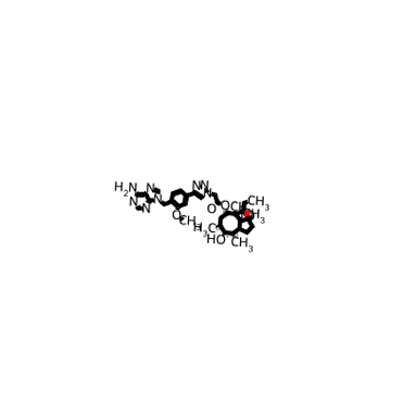 CCC(C)[C@]1(C)[C@@H]2C(=O)CCC2[C@@H](C)[C@H](O)[C@@H](C)C[C@H]1OC(=O)Cn1cc(-c2ccc(Cn3cnc4c(N)ncnc43)c(OC)c2)nn1